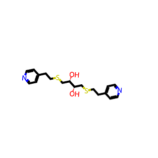 O[C@@H](CSCCc1ccncc1)[C@@H](O)CSCCc1ccncc1